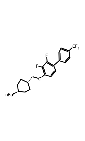 CCCC[C@H]1CC[C@H](COc2ccc(-c3ccc(C(F)(F)F)cc3)c(F)c2F)CC1